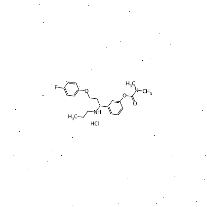 CCCNC(CCOc1ccc(F)cc1)c1cccc(OC(=O)N(C)C)c1.Cl